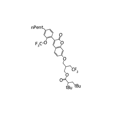 CCCCCc1ccc(-c2cc3ccc(OCC(COC(=O)C(CC(C)(C)C)C(C)(C)C)CC(F)(F)F)cc3oc2=O)c(OC(F)(F)F)c1